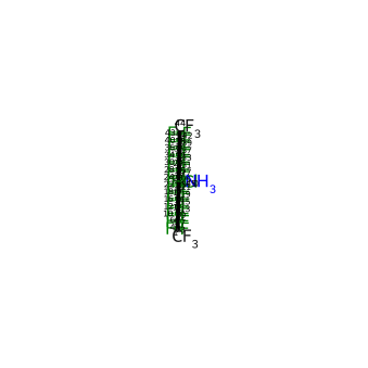 Cl.FC(F)(F)C(F)(F)C(F)(F)C(F)(F)C(F)(F)C(F)(F)C(F)(F)C(F)(F)C(F)(F)C(F)(F)C(F)(F)C(F)(F)C(F)(F)C(F)(F)C(F)(F)C(F)(F)F.N